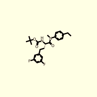 CCc1ccc(N(C)C(=O)[C@H](CCc2cc(F)cc(F)c2)NC(=O)OC(C)(C)C)cc1